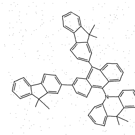 CC1(C)c2ccccc2-c2ccc(-c3ccc4c(N5c6ccccc6C(C)(C)c6ccccc65)c5ccccc5c(-c5ccc6c(c5)C(C)(C)c5ccccc5-6)c4c3)cc21